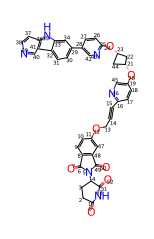 O=C1CCC(N2C(=O)c3ccc(OCC#Cc4ccc(O[C@H]5C[C@@H](Oc6ccc(-c7ccc8c(c7)[nH]c7ccncc78)cn6)C5)cn4)cc3C2=O)C(=O)N1